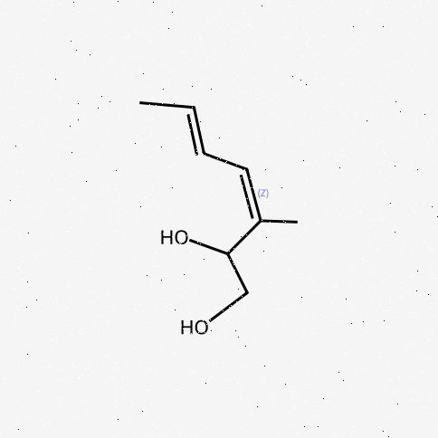 CC=C/C=C(/C)C(O)CO